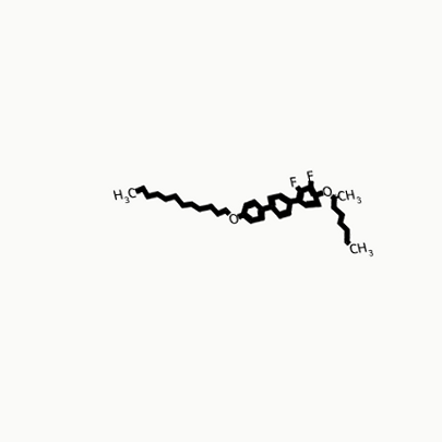 CCCCCCCCCCCCOc1ccc(-c2ccc(-c3ccc(O[C@H](C)CCCCCC)c(F)c3F)cc2)cc1